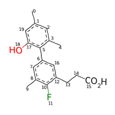 Cc1cc(C)c(-c2cc(C)c(F)c(CCC(=O)O)c2)c(O)c1